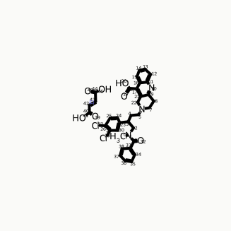 CN(CC(CCN1CCc2nc3ccccc3c(C(=O)O)c2C1)c1ccc(Cl)c(Cl)c1)C(=O)c1ccccc1.O=C(O)/C=C/C(=O)O